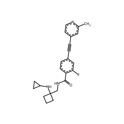 Cc1cc(C#Cc2ccc(C(=O)NCC3(NC4CC4)CCC3)c(F)c2)ccn1